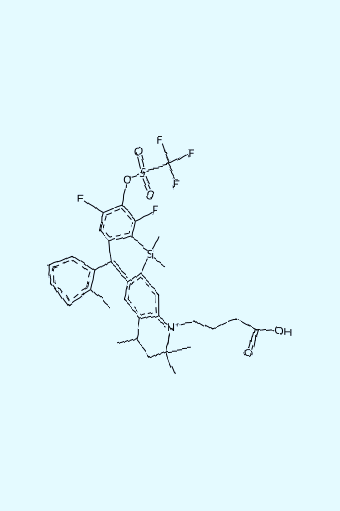 Cc1ccccc1C1=c2cc3c(cc2[Si](C)(C)c2c1cc(F)c(OS(=O)(=O)C(F)(F)F)c2F)=[N+](CCCC(=O)O)C(C)(C)CC3C